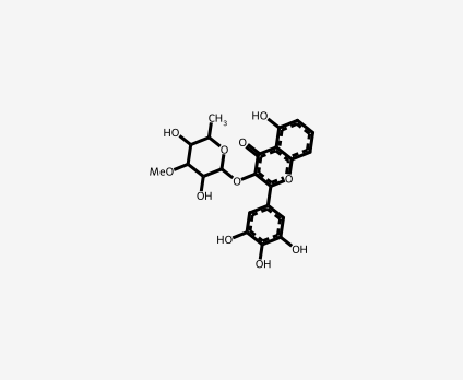 COC1C(O)C(C)OC(Oc2c(-c3cc(O)c(O)c(O)c3)oc3cccc(O)c3c2=O)C1O